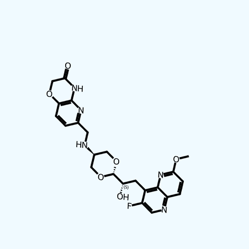 COc1ccc2ncc(F)c(C[C@H](O)[C@H]3OC[C@H](NCc4ccc5c(n4)NC(=O)CO5)CO3)c2n1